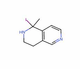 CC1(I)NCCc2cnccc21